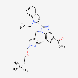 COC(=O)c1cc(OC)c2c(c1)nc(-c1cc3ccccc3n1CC1CC1)n2Cc1cnn(COCC[Si](C)(C)C)c1